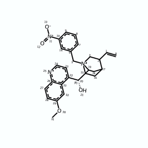 C=CC1C[N+]2(Cc3cccc([N+](=O)[O-])c3)CCC1CC2[C@H](O)c1ccnc2ccc(OC)cc12